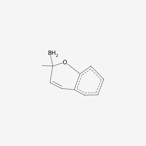 BC1(C)C=Cc2ccccc2O1